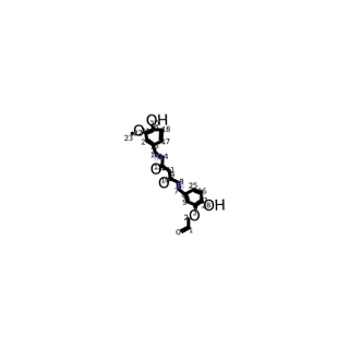 C=CCOc1cc(/C=C/C(=O)CC(=O)/C=C/c2ccc(O)c(OC)c2)ccc1O